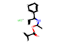 C=CC(NC(C)OC(=O)C(=C)C)c1ccccc1.Cl